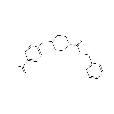 O=C(O)c1ccc(OC2CCN(C(=O)OCc3ccccc3)CC2)cc1